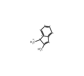 CC1=[C]c2ccccc2C1C